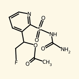 CC(=O)OC(CF)c1cccnc1S(=O)(=O)NC(N)=O